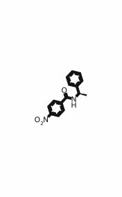 C[C@@H](NC(=O)c1ccc([N+](=O)[O-])cc1)c1ccccc1